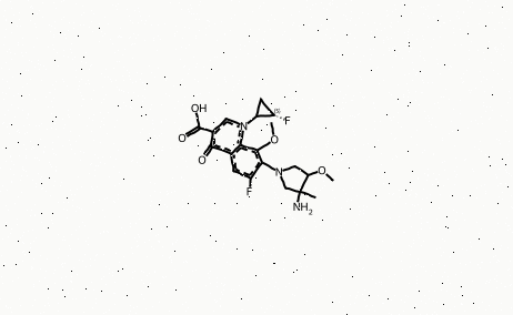 COc1c(N2CC(OC)C(C)(N)C2)c(F)cc2c(=O)c(C(=O)O)cn(C3C[C@@H]3F)c12